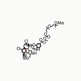 COc1cc(C(=O)OC(C)OC(=O)OCCC(C)(C)OCCC(C)(C)OC)ccc1NC(=O)[C@@H]1NC(CC(C)(C)C)[C@](C#N)(c2ccc(Cl)cc2F)C1C1C#CC(Cl)=CC=C1